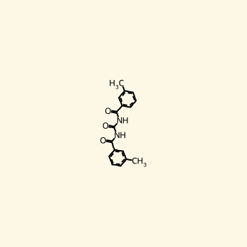 Cc1cccc(C(=O)NC(=O)NC(=O)c2cccc(C)c2)c1